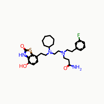 NC(=O)CCN(CCc1cccc(F)c1)CCN(CCc1ccc(O)c2[nH]c(=O)sc12)C1CCCCCC1